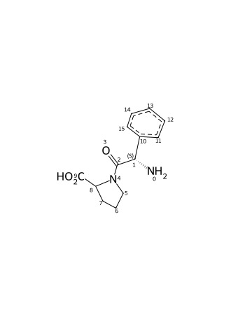 N[C@H](C(=O)N1CCCC1C(=O)O)c1ccccc1